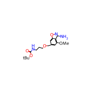 COc1cc(COCCCNC(=O)OC(C)(C)C)cc2onc(N)c12